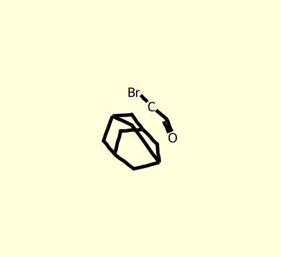 C1C2CC3CC1CC(C2)C3.O=CCBr